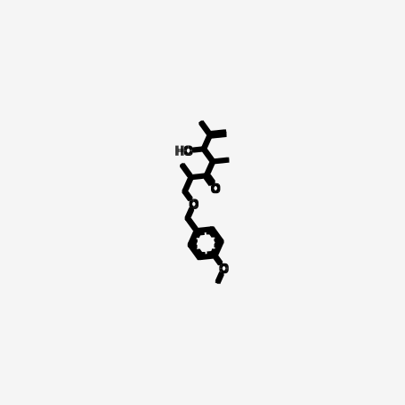 C=C(C)C(O)C(C)C(=O)C(C)COCc1ccc(OC)cc1